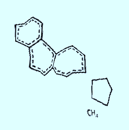 C.C1CCCC1.c1ccc2c(c1)ccc1ccccc12